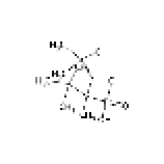 CC(C)(C)CC(C)(C(C)(C)C)P(=O)(O)O